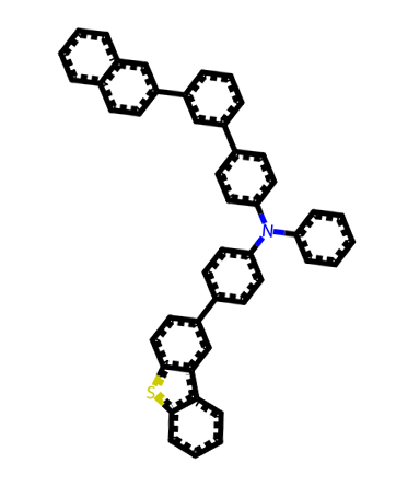 c1ccc(N(c2ccc(-c3cccc(-c4ccc5ccccc5c4)c3)cc2)c2ccc(-c3ccc4sc5ccccc5c4c3)cc2)cc1